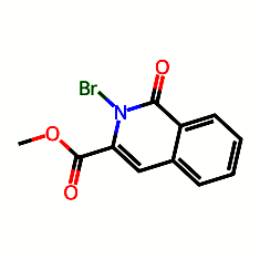 COC(=O)c1cc2ccccc2c(=O)n1Br